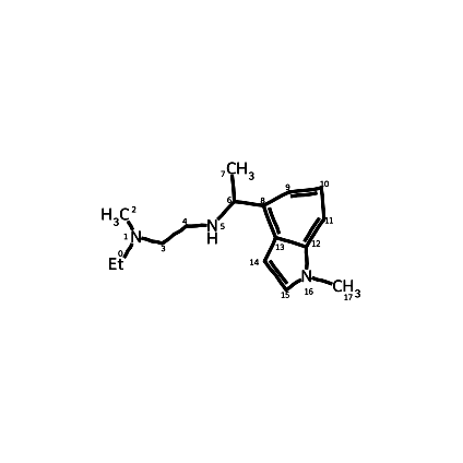 CCN(C)CCNC(C)c1cccc2c1ccn2C